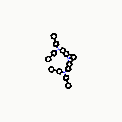 c1cc2c3cc4ccc(N(c5ccc(C6CCCCC6)cc5)c5ccc(C6CCCCC6)cc5)cc4cc3n3c4cc5cc(N(c6ccc(C7CCCCC7)cc6)c6ccc(C7CCCCC7)cc6)ccc5cc4c(c1)c23